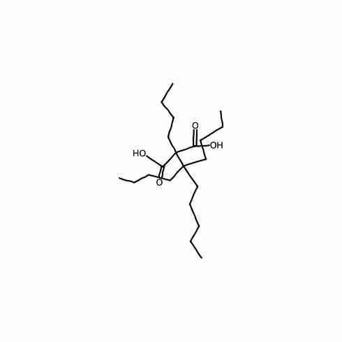 CCCCCC(CCCC)(CCCC)C(CCCC)(C(=O)O)C(=O)O